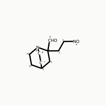 O=CC1(CCN=O)CC2CCN1CC2